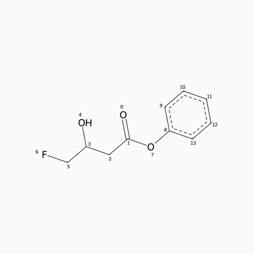 O=C(CC(O)CF)Oc1ccccc1